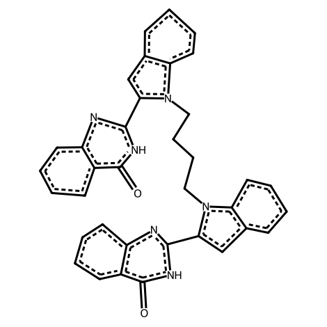 O=c1[nH]c(-c2cc3ccccc3n2CCCCn2c(-c3nc4ccccc4c(=O)[nH]3)cc3ccccc32)nc2ccccc12